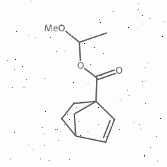 COC(C)OC(=O)C12C=CC(CC1)C2